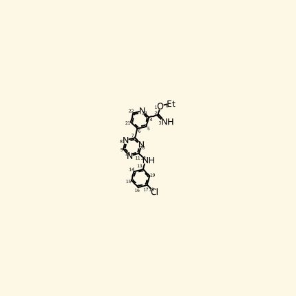 CCOC(=N)c1cc(-c2ncnc(Nc3cccc(Cl)c3)n2)ccn1